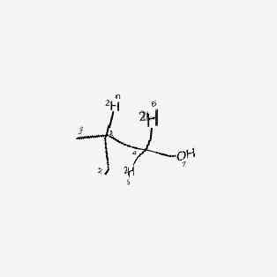 [2H]C(C)(C)C([2H])([2H])O